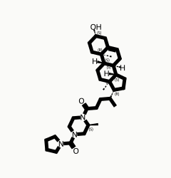 CC(CCC(=O)N1CCN(C(=O)N2CCCC2)C[C@@H]1C)[C@H]1CC[C@H]2[C@@H]3CC=C4C[C@@H](O)CC[C@]4(C)[C@H]3CC[C@]12C